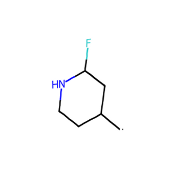 [CH2]C1CCNC(F)C1